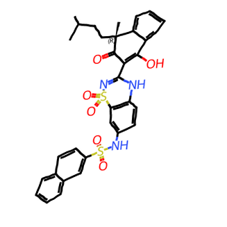 CC(C)CC[C@@]1(C)C(=O)C(C2=NS(=O)(=O)c3cc(NS(=O)(=O)c4ccc5ccccc5c4)ccc3N2)=C(O)c2ccccc21